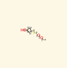 CCOCOCCSCc1ccc(O)cc1